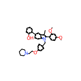 COc1ccc(-c2c(C)c3cc(-c4ccccc4O)ccc3n2Cc2ccc(OCCN3CCCCC3)cc2)c(OC)c1